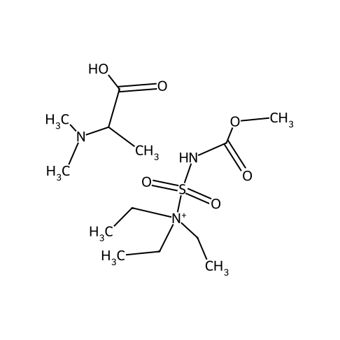 CC(C(=O)O)N(C)C.CC[N+](CC)(CC)S(=O)(=O)NC(=O)OC